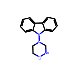 c1ccc2c(c1)c1ccccc1n2N1CCNNC1